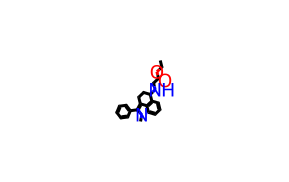 CCOC(=O)CNC1CCc2c(-c3ccccc3)n(C)c3cccc1c23